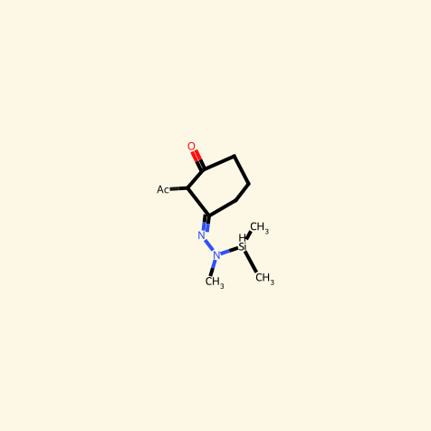 CC(=O)C1C(=O)CCCC1=NN(C)[SiH](C)C